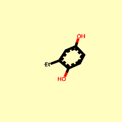 C[CH]c1cc(O)ccc1O